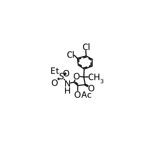 CCS(=O)(=O)NC1=C(OC(C)=O)C(=O)C(C)(c2ccc(Cl)c(Cl)c2)O1